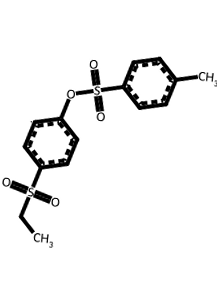 CCS(=O)(=O)c1c[c]c(OS(=O)(=O)c2ccc(C)cc2)cc1